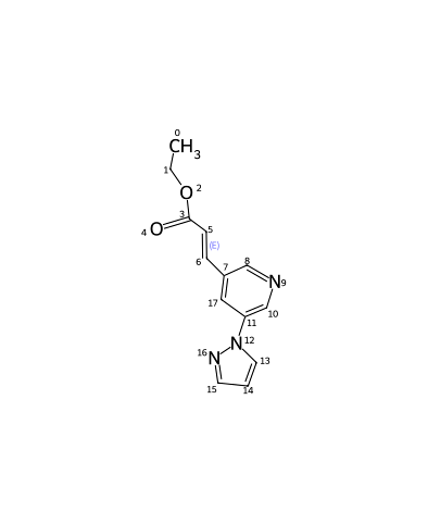 CCOC(=O)/C=C/c1cncc(-n2cccn2)c1